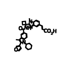 Cc1c(-c2ccoc2)n(C2CCCCC2)c2ccc(C(=O)NC3(c4nc5cc(/C=C/C(=O)O)ccc5n4C)CCC3)cc12